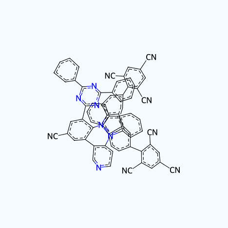 N#Cc1cc(C#N)c(-c2ccc3c(c2)c2cc(-c4c(C#N)cc(C#N)cc4C#N)ccc2n3-c2c(-c3nc(-c4ccccc4)nc(-c4ccccc4)n3)cc(C#N)cc2-c2cnccc2-n2c3ccccc3c3ccccc32)c(C#N)c1